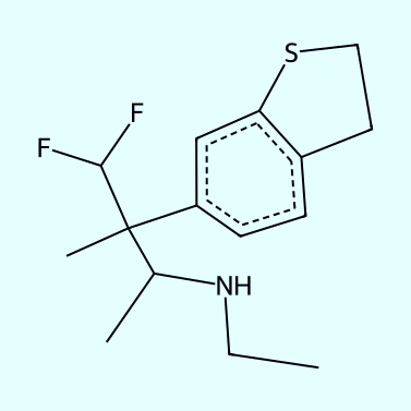 CCNC(C)C(C)(c1ccc2c(c1)SCC2)C(F)F